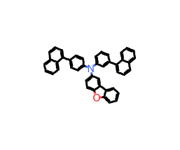 c1cc(-c2cccc3ccccc23)cc(N(c2ccc(-c3cccc4ccccc34)cc2)c2ccc3oc4ccccc4c3c2)c1